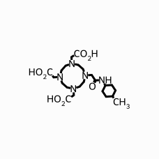 CC1CCC(NC(=O)CN2CCN(CC(=O)O)CCN(CC(=O)O)CCN(CC(=O)O)CC2)CC1